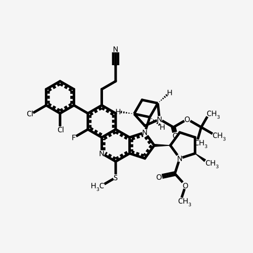 COC(=O)N1[C@H](C)CC[C@@H]1c1cc2c(SC)nc3c(F)c(-c4cccc(Cl)c4Cl)c(CCC#N)cc3c2n1[C@H]1[C@@H]2C[C@H]1N(C(=O)OC(C)(C)C)C2